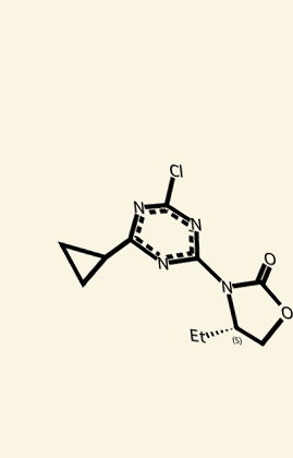 CC[C@H]1COC(=O)N1c1nc(Cl)nc(C2CC2)n1